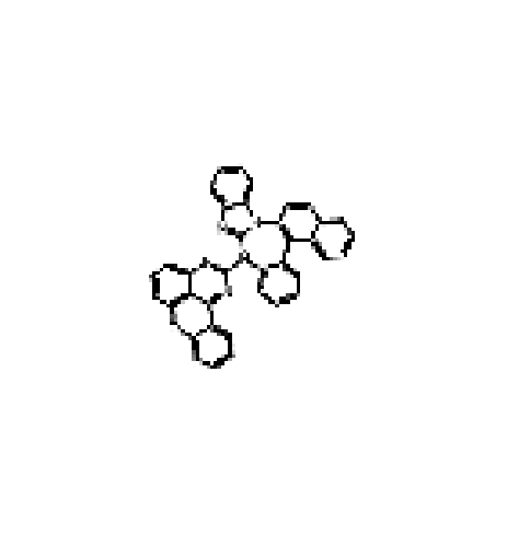 c1ccc2c(c1)Oc1cccc3nc(N4c5ccccc5-c5c(ccc6ccccc56)-n5c4nc4ccccc45)nc-2c13